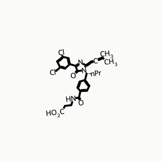 CCC[C@H](c1ccc(C(=O)NCCC(=O)O)cc1)N1C(=O)C(c2cc(Cl)cc(Cl)c2)=NC1=C=C=C(C)C